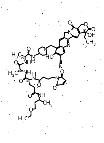 CCOCCC(C)NC(=O)CC[C@H](NC(=O)CCCN1C(=O)C=CC1=O)C(=O)N[C@@H](C)C(=O)N[C@@H](C)C(=O)NC1CCN(Cc2c(O)c(C#N)cc3nc4c(cc23)Cn2c-4cc3c(c2=O)COC(=O)[C@]3(O)CC)CC1